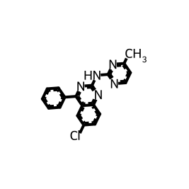 Cc1ccnc(Nc2nc(-c3ccccc3)c3cc(Cl)ccc3n2)n1